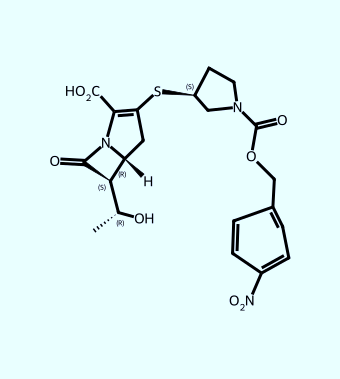 C[C@@H](O)[C@H]1C(=O)N2C(C(=O)O)=C(S[C@H]3CCN(C(=O)OCc4ccc([N+](=O)[O-])cc4)C3)C[C@H]12